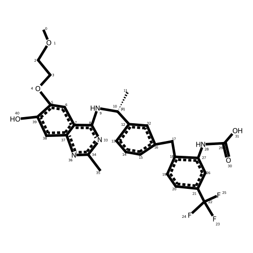 COCCOc1cc2c(N[C@H](C)c3cccc(Cc4ccc(C(F)(F)F)cc4NC(=O)O)c3)nc(C)nc2cc1O